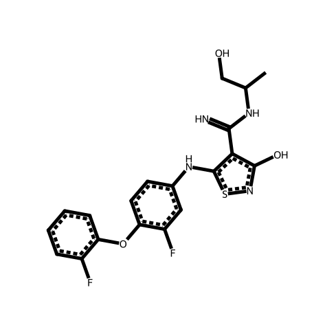 CC(CO)NC(=N)c1c(O)nsc1Nc1ccc(Oc2ccccc2F)c(F)c1